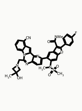 CNC(=O)c1c(-c2ccc(F)cc2)oc2cc(N(C)S(C)(=O)=O)c(-c3ccc4nc(CN5CC(C)(O)C5)n5c6cccc(C#N)c6cc5c4n3)cc12